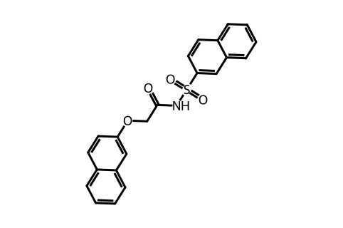 O=C(COc1ccc2ccccc2c1)NS(=O)(=O)c1ccc2ccccc2c1